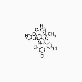 CC(=O)Nc1c(C(C)=O)c(=O)n(Cc2ccncc2)c2nc(-c3ccc(Cl)cc3Cl)c(-c3ccc(Cl)cc3)cc12